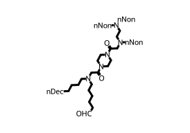 CCCCCCCCCCCCCCN(CCCCCC=O)CC(=O)N1CCN(C(=O)CN(CCCCCCCCC)CCN(CCCCCCCCC)CCCCCCCCC)CC1